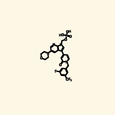 Cc1cc(F)cc(Cn2ccc(-c3cn(COP(=O)(O)O)c4ncc(N5CCOCC5)cc34)cc2=O)c1